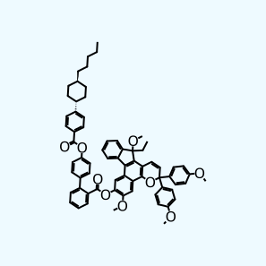 CCCCC[C@H]1CC[C@H](c2ccc(C(=O)Oc3ccc(-c4ccccc4C(=O)Oc4cc5c6c(c7c(c5cc4OC)OC(c4ccc(OC)cc4)(c4ccc(OC)cc4)C=C7)C(CC)(OC)c4ccccc4-6)cc3)cc2)CC1